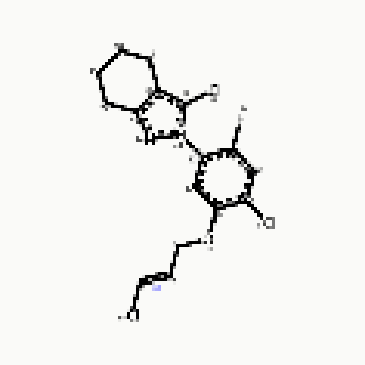 Fc1cc(Cl)c(OC/C=C/Cl)cc1-n1nc2c(c1Cl)CCCC2